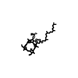 C=CC1=C(C)C2=NC1=CC1=NC(=Cc3[n-]c4c(c3C)=C([O-])C(C(=O)OC)C=4C3=NC(=C2)C(C)C3CCC(=O)OCC=C(C)CCCC(C)CCCC(C)CCCC(C)C)C(CC)=C1C.[Mg+2]